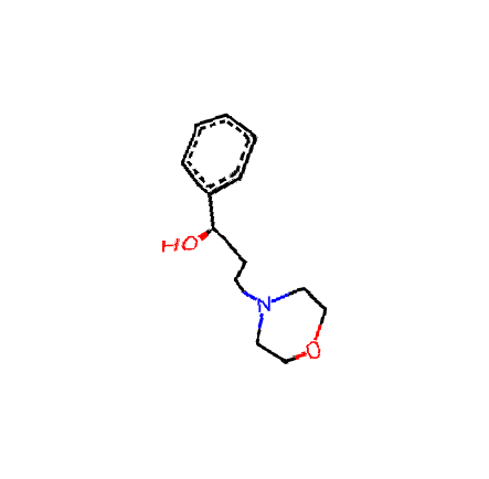 O[C@H](CCN1CCOCC1)c1ccccc1